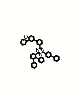 c1ccc(-c2ccc(-c3nc(-c4cccc(-c5ccc6oc7ccccc7c6c5)c4)nc(-c4cccc(-c5ccccc5)c4-c4ccccc4)n3)cc2)cc1